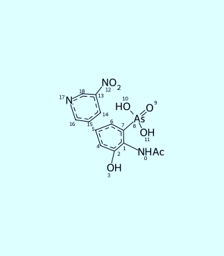 CC(=O)Nc1c(O)cccc1[As](=O)(O)O.O=[N+]([O-])c1cccnc1